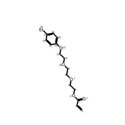 C=CC(=O)OCCOCCOCCOc1ccc(CC)cc1